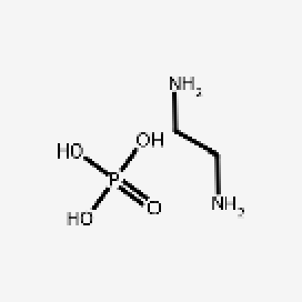 NCCN.O=P(O)(O)O